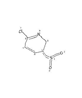 O=S(=O)=C1C=CC(Cl)=NC1